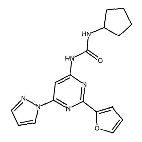 O=C(Nc1cc(-n2cccn2)nc(-c2ccco2)n1)NC1CCCC1